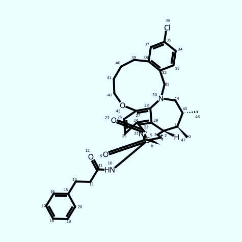 C[C@H]1[C@@H]2/C=C/CCCS(=O)(NC(=O)CCc3ccccc3)=NC(=O)c3ccc4c(c32)N(Cc2ccc(Cl)cc2CCCCO4)C[C@@H]1C